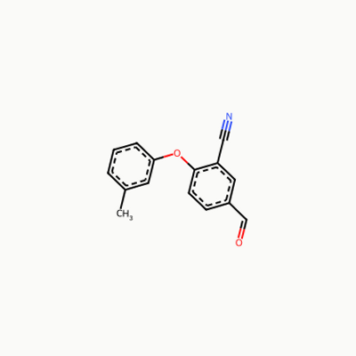 Cc1cccc(Oc2ccc(C=O)cc2C#N)c1